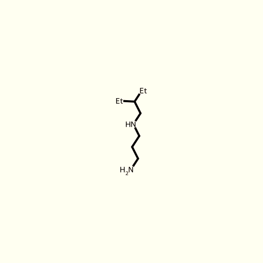 CCC(CC)CNCCCN